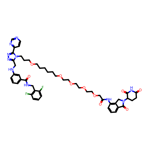 O=C1CCC(N2Cc3c(NC(=O)COCCOCCOCCOCCCCCCOCCCn4c(CNc5cccc(C(=O)NCc6c(F)cccc6F)c5)nnc4-c4ccncn4)cccc3C2=O)C(=O)N1